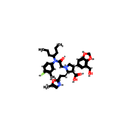 CCCC(CCC)N(C(=O)CN1C[C@H](c2cc(CO)c3c(c2)OCO3)[C@@H](C(=O)O)[C@@H]1CCc1ncc(C)o1)c1ccc(F)c(C)c1